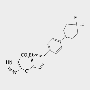 CCOC(=O)c1[nH]nnc1Oc1ccc(-c2ccc(N3CCC(F)(F)CC3)cc2)cc1